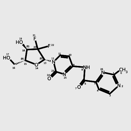 Cc1nccc(C(=O)Nc2ccn([C@@H]3O[C@H](CO)[C@@H](O)C3(F)F)c(=O)n2)n1